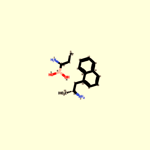 CC(C)C[C@H](N)B(O)O.N[C@@H](Cc1cccc2ccccc12)C(=O)O